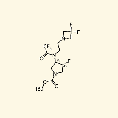 CC(C)(C)OC(=O)N1C[C@@H](F)[C@@H](N(CCN2CC(F)(F)C2)C(=O)C(F)(F)F)C1